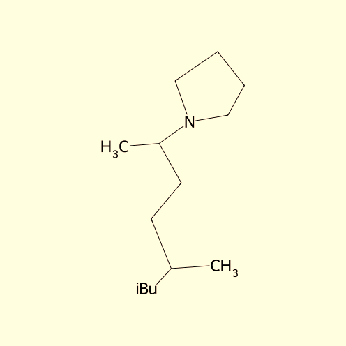 CCC(C)C(C)CCC(C)N1CCCC1